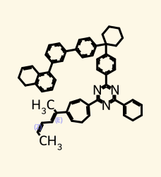 C/C=C\C=C(/C)C1=CCC=C(c2nc(C3=CCCC=C3)nc(-c3ccc(C4(c5ccc(-c6cccc(-c7cccc8c7C=CCC8)c6)cc5)CCCCC4)cc3)n2)C=C1